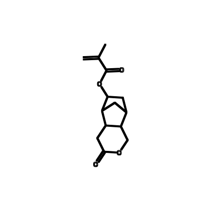 C=C(C)C(=O)OC1CC2CC1C1CC(=O)OCC21